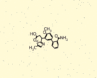 COc1ccc(-c2ccccc2C(N)=O)cc1C(CC(=O)O)c1ncc(C)s1